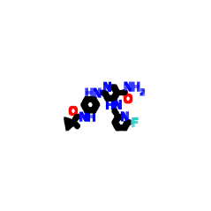 CC1(C(=O)Nc2ccc(Nc3cc(NCc4cccc(F)n4)c(C(N)=O)cn3)cc2)CC1